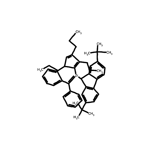 CCCC1=CC(CCC)[C]([Zr](=[C](c2ccccc2)c2ccccc2)[CH]2c3cc(C(C)(C)C)ccc3-c3ccc(C(C)(C)C)cc32)=C1CCC